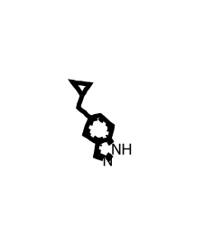 c1cc2[nH]ncc2cc1CC1CC1